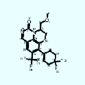 COCC1CSc2c(C3=CCC(F)(F)CC3)c(C(F)(F)F)cc3cnc(=O)n1c23